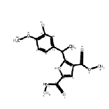 CNC(=O)c1cc(C(=O)OC)c(C(C)c2ccc(OC)c(Cl)c2)o1